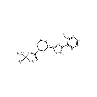 CC(C)(C)OC(=O)N1CCCC(c2nc(-c3ccccc3F)no2)C1